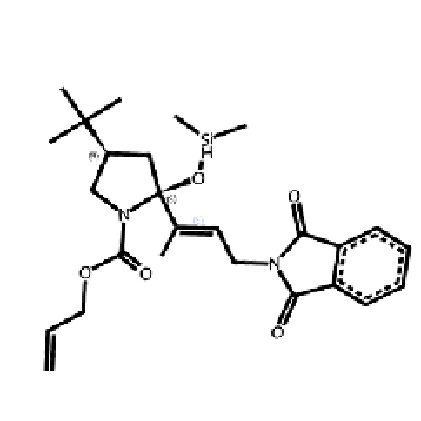 C=CCOC(=O)N1C[C@@H](C(C)(C)C)C[C@]1(O[SiH](C)C)/C(C)=C/CN1C(=O)c2ccccc2C1=O